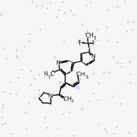 C=C(/C=C(\C=C/C)c1cc(-c2ccnc(C(C)(F)F)c2)cnc1C)N1CCCC1